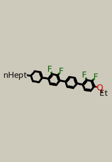 CCCCCCCC1CC=C(c2ccc(-c3ccc(-c4ccc(OCC)c(F)c4F)cc3)c(F)c2F)CC1